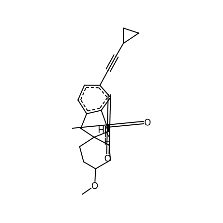 COC1CCC2(CC1)Cc1ccc(C#CC3CC3)cc1C21NC(=O)NC1=O